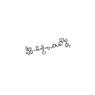 CC(C)c1cccc(C(=O)N2CCOC3(CCN(Cc4cccc(CCOCCC(=O)N(CCNCCc5ccc(O)c6c5OCC(=O)N6)C5CCCCC5)c4)CC3)C2)n1